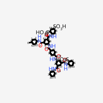 Cc1ccc(NC(=O)c2cc(NC(=O)c3ccc(C(=O)Nc4cc(C(=O)Nc5ccccc5)cc(C(=O)Nc5ccccc5S(=O)(=O)O)c4)cc3)cc(C(=O)Nc3ccc(S(=O)(=O)O)cc3S(=O)(=O)O)c2)cc1